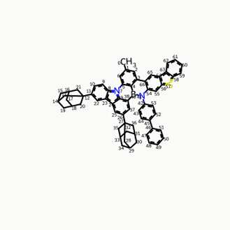 Cc1cc2c3c(c1)-n1c4ccc(C56CC7CC(CC(C7)C5)C6)cc4c4cc(C56CC7CC(CC(C7)C5)C6)cc(c41)B3N(c1ccc(-c3ccccc3)cc1)c1cc3sc4ccccc4c3cc1-2